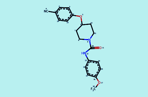 N#Cc1ccc(OC2CCN(C(=O)Nc3ccc(OC(F)(F)F)cc3)CC2)cc1